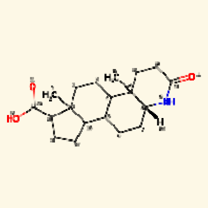 CC12CCC3C(CC[C@H]4NC(=O)CCC34C)C1CCC2C(=O)O